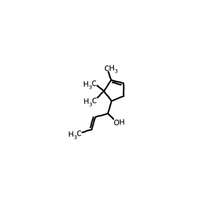 C/C=C/C(O)C1CC=C(C)C1(C)C